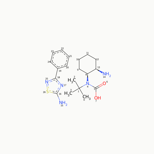 CC(C)(C)N(C(=O)O)[C@H]1CCCC[C@H]1N.Nc1nc(-c2ccccc2)ns1